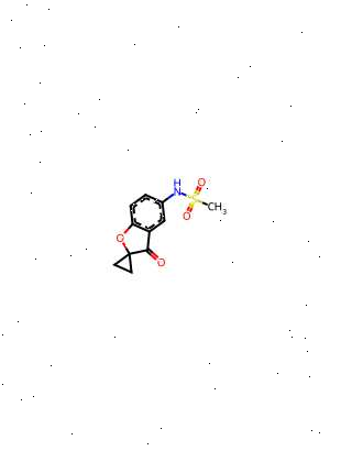 CS(=O)(=O)Nc1ccc2c(c1)C(=O)C1(CC1)O2